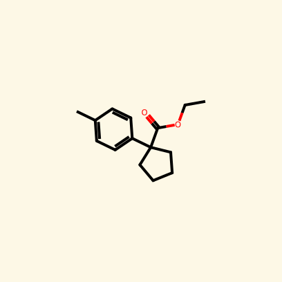 CCOC(=O)C1(c2ccc(C)cc2)CCCC1